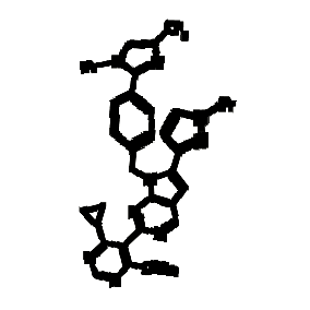 COc1ncnc(C2CC2)c1-c1ncc2cc(-c3ccn(C(C)C)n3)n(Cc3ccc(-c4nc(C(F)(F)F)cn4C(C)C)cc3)c2n1